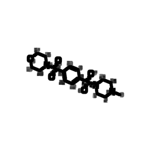 CN1CCN(S(=O)(=O)c2ccc(S(=O)(=O)N3CCOCC3)cc2)CC1